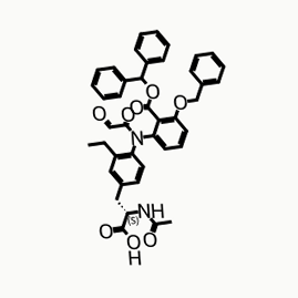 CCc1cc(C[C@H](NC(C)=O)C(=O)O)ccc1N(C(=O)C=O)c1cccc(OCc2ccccc2)c1C(=O)OC(c1ccccc1)c1ccccc1